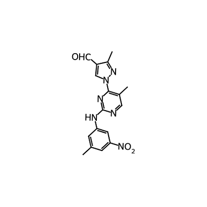 Cc1cc(Nc2ncc(C)c(-n3cc(C=O)c(C)n3)n2)cc([N+](=O)[O-])c1